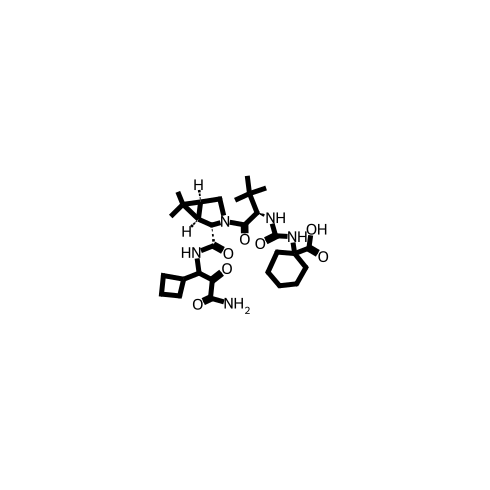 CC(C)(C)[C@H](NC(=O)NC1(C(=O)O)CCCCC1)C(=O)N1C[C@H]2[C@@H]([C@H]1C(=O)NC(C(=O)C(N)=O)C1CCC1)C2(C)C